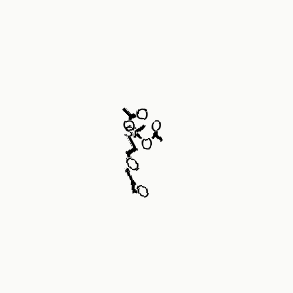 CC(=O)O[Si](C)(CCCOCC1CO1)OC(C)=O